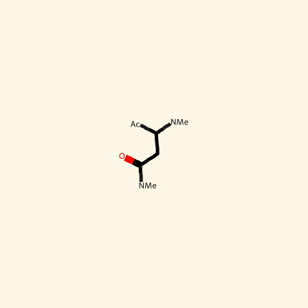 CNC(=O)CC(NC)C(C)=O